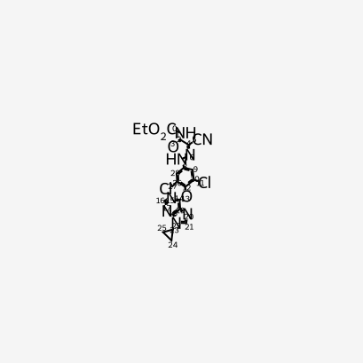 CCOC(=O)NC(=O)C(C#N)=NNc1cc(Cl)c(Oc2ncnc3c2ncn3C2CC2)c(Cl)c1